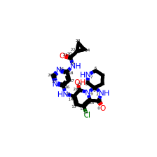 O=C1NC2(CCCNC2)N2C1=C(Cl)C=C(Nc1cc(NC(=O)C3CC3)ncn1)C2O